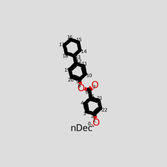 CCCCCCCCCCOc1ccc(C(=O)Oc2ccc(C3CC[CH]CC3)cc2)cc1